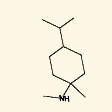 CNC1(C)CCC(C(C)C)CC1